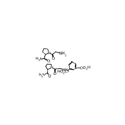 NCC(=O)N1CCCC1C(N)=O.NCC(=O)N1CCCC1C(N)=O.O=C(O)c1cccc(C(=O)O)c1